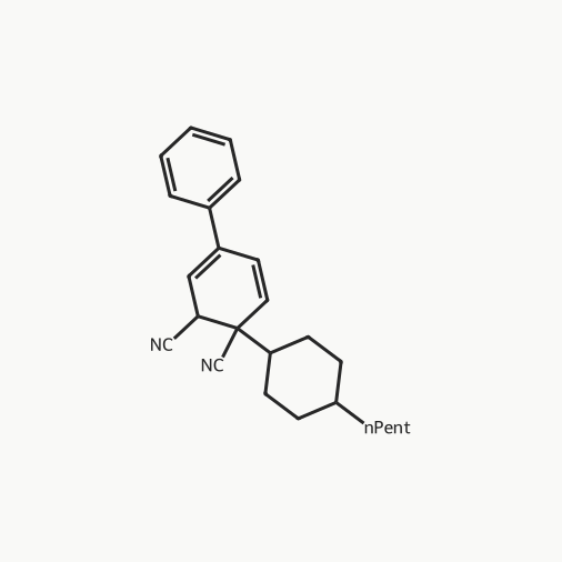 CCCCCC1CCC(C2(C#N)C=CC(c3ccccc3)=CC2C#N)CC1